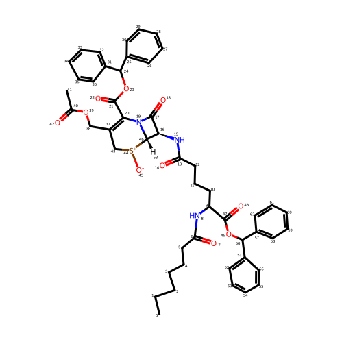 CCCCCCC(=O)NC(CCCC(=O)N[C@@H]1C(=O)N2C(C(=O)OC(c3ccccc3)c3ccccc3)=C(COC(C)=O)C[S+]([O-])[C@@H]12)C(=O)OC(c1ccccc1)c1ccccc1